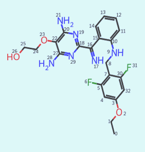 CCOc1cc(F)c(CNc2ccccc2C(=N)c2nc(N)c(OCCO)c(N)n2)c(F)c1